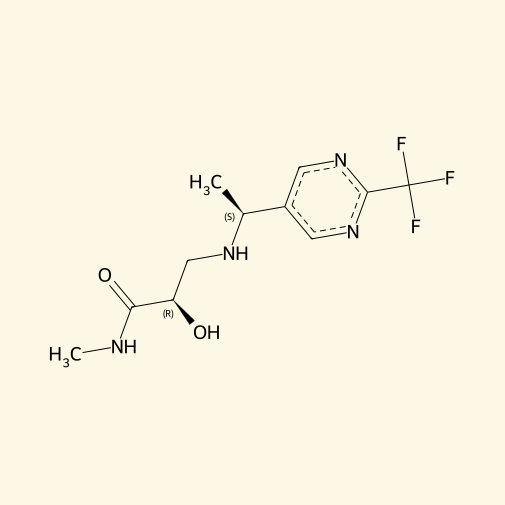 CNC(=O)[C@H](O)CN[C@@H](C)c1cnc(C(F)(F)F)nc1